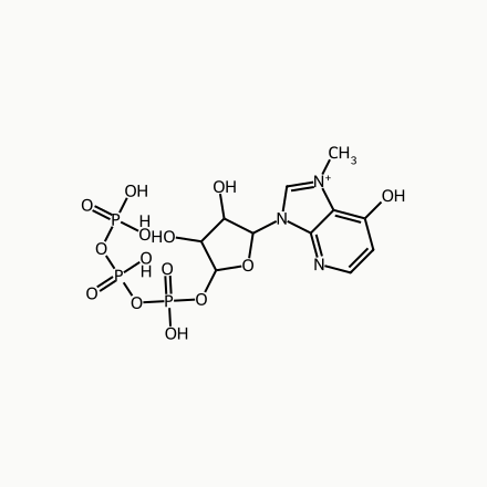 C[n+]1cn(C2OC(OP(=O)(O)OP(=O)(O)OP(=O)(O)O)C(O)C2O)c2nccc(O)c21